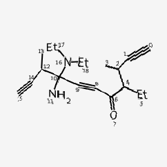 C#CC(C)C(CC)C(=O)C#CC(N)(C(C)C#C)N(CC)CC